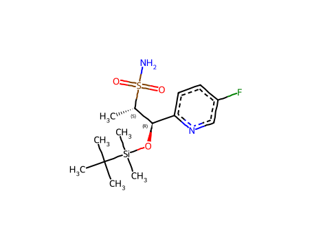 C[C@@H]([C@H](O[Si](C)(C)C(C)(C)C)c1ccc(F)cn1)S(N)(=O)=O